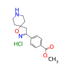 COC(=O)c1ccc(C2=NOC3(CCNCC3)C2)cc1.Cl